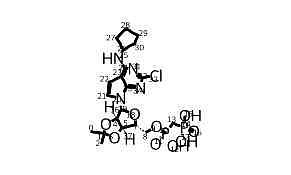 CC1(C)O[C@@H]2[C@H](O1)[C@@H](COP(=O)(O)CP(=O)(O)O)O[C@H]2n1ccc2c(NC3CCCC3)nc(Cl)nc21